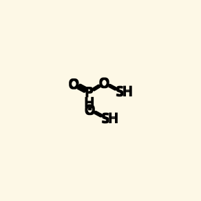 O=[PH](OS)OS